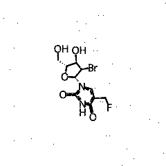 O=c1[nH]c(=O)n([C@@H]2O[C@H](CO)[C@@H](O)[C@H]2Br)cc1CF